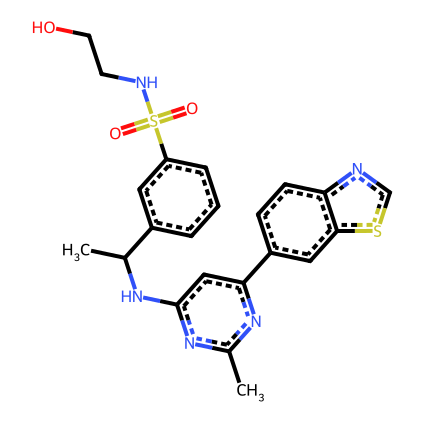 Cc1nc(NC(C)c2cccc(S(=O)(=O)NCCO)c2)cc(-c2ccc3ncsc3c2)n1